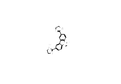 O=S1(=O)c2ccc(C3=NCCN3)cc2-c2cc(C3=NCCN3)ccc21